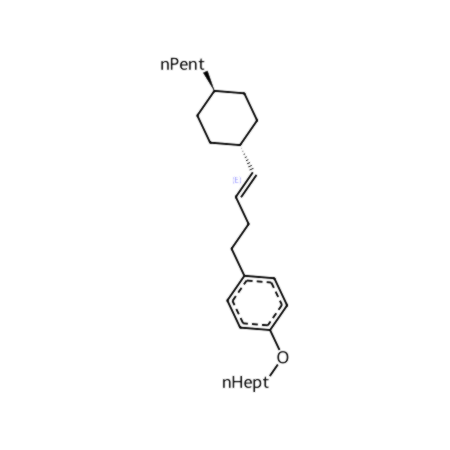 CCCCCCCOc1ccc(CC/C=C/[C@H]2CC[C@H](CCCCC)CC2)cc1